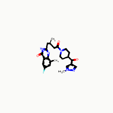 Cc1cc(F)cc2c(=O)[nH]c(C[C@@H](C)CC(=O)N3CCC(C(=O)c4cnn(C)c4)CC3)nc12